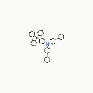 C/C=C(\C=C/Cc1ccccc1)N(c1ccc(C2=CCCC=C2)cc1)c1ccc(C2(c3ccccc3)c3ccccc3-c3ccccc32)cc1